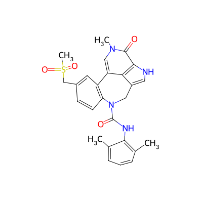 Cc1cccc(C)c1NC(=O)N1Cc2c[nH]c3c(=O)n(C)cc(c23)-c2cc(CS(C)(=O)=O)ccc21